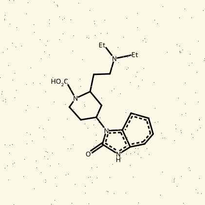 CCN(CC)CCC1CC(n2c(=O)[nH]c3ccccc32)CCN1C(=O)O